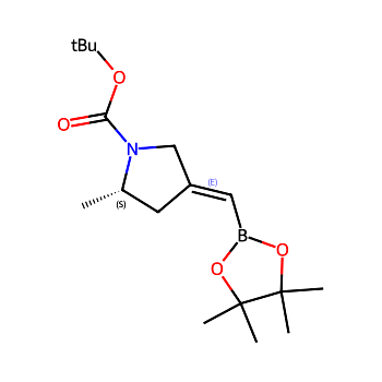 C[C@H]1C/C(=C\B2OC(C)(C)C(C)(C)O2)CN1C(=O)OC(C)(C)C